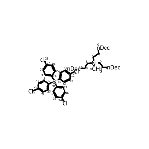 CCCCCCCCCCCC[N+](C)(CCCCCCCCCCCC)CCCCCCCCCCCC.Clc1ccc([B-](c2ccc(Cl)cc2)(c2ccc(Cl)cc2)c2ccc(Cl)cc2)cc1